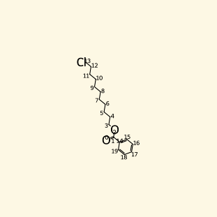 O=C(OCCCCCCCCCCCl)c1ccccc1